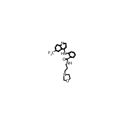 O=C(NCCCN1CCOCC1)c1ccccc1Nc1ccnc2ccc(C(F)(F)F)cc12